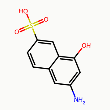 Nc1cc(O)c2cc(S(=O)(=O)O)ccc2c1